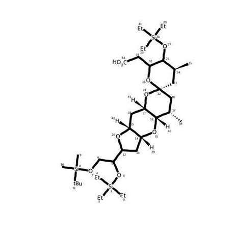 CC[Si](CC)(CC)OC(CO[Si](C)(C)C(C)(C)C)C1C[C@H]2O[C@@H]3[C@H](C[C@H]2O1)O[C@]1(C[C@H](C)C(O[Si](CC)(CC)CC)C(CC(=O)O)O1)C[C@@H]3C